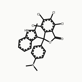 Cc1[nH]c2ccccc2c1C1(c2ccc(N(C)C)cc2)OC(=O)c2c(Cl)c(Cl)c(Cl)c(Cl)c21